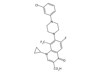 O=C(O)c1cn(C2CC2)c2c(C(F)(F)F)c(N3CCN(c4cccc(Cl)c4)CC3)c(F)cc2c1=O